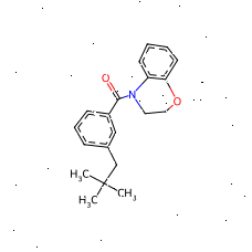 CC(C)(C)Cc1cccc(C(=O)N2CCOc3ccccc32)c1